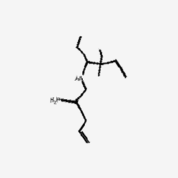 C=CCC(P)CNC(CC)C(C)(C)CC